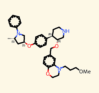 COCCCN1CCOc2ccc(CO[C@H]3CNCC[C@@H]3c3ccc(O[C@H]4C[C@H](C)N(c5ccccc5)C4)cc3)cc21